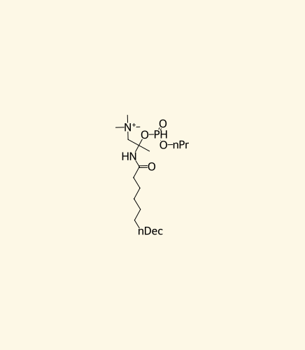 CCCCCCCCCCCCCCCC(=O)NC(C)(C[N+](C)(C)C)O[PH](=O)OCCC